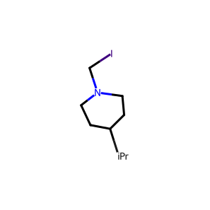 CC(C)C1CCN(CI)CC1